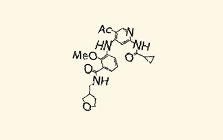 COc1c(Nc2cc(NC(=O)C3CC3)ncc2C(C)=O)cccc1C(=O)NCC1CCOC1